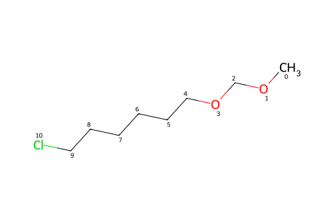 COCOCCCCCCCl